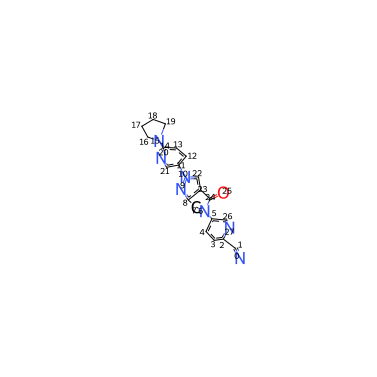 N#Cc1ccc(N2Cc3nn(-c4ccc(N5CCCC5)nc4)cc3C2=O)cn1